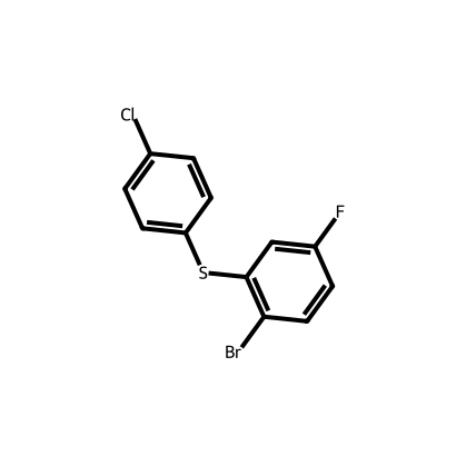 Fc1ccc(Br)c(Sc2ccc(Cl)cc2)c1